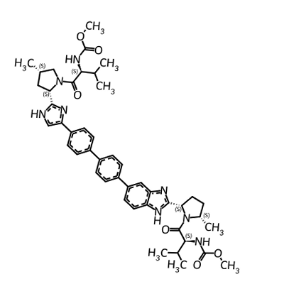 COC(=O)N[C@H](C(=O)N1C[C@@H](C)C[C@H]1c1nc(-c2ccc(-c3ccc(-c4ccc5[nH]c([C@@H]6CC[C@H](C)N6C(=O)[C@@H](NC(=O)OC)C(C)C)nc5c4)cc3)cc2)c[nH]1)C(C)C